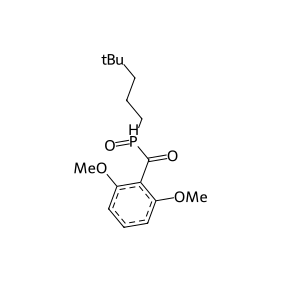 COc1cccc(OC)c1C(=O)[PH](=O)CCCC(C)(C)C